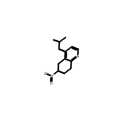 CC(C)Cc1ccnc2c1CC([N+](=O)[O-])CC2